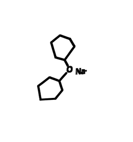 C1CCC(OC2CCCCC2)CC1.[Na]